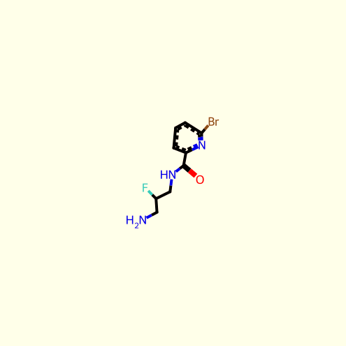 NCC(F)CNC(=O)c1cccc(Br)n1